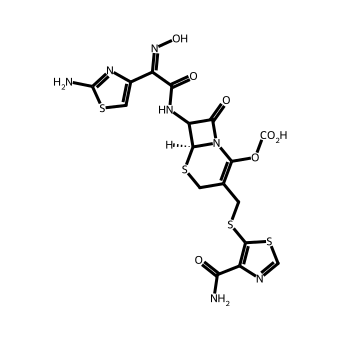 NC(=O)c1ncsc1SCC1=C(OC(=O)O)N2C(=O)C(NC(=O)/C(=N\O)c3csc(N)n3)[C@@H]2SC1